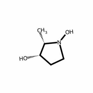 C[C@H]1[C@@H](O)CCN1O